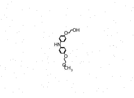 COCCOc1ccc(Nc2ccc(OCCO)cc2)cc1